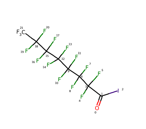 O=C(I)C(F)(F)C(F)(F)C(F)(F)C(F)(F)C(F)(F)C(F)(F)C(F)(F)F